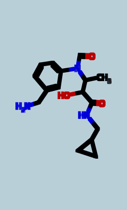 CC(C(O)C(=O)NCC1CC1)N(C=O)c1cccc(CN)c1